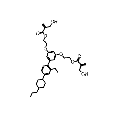 C=C(CO)C(=O)OCCOc1cc(OCCOC(=O)C(=C)CO)cc(-c2ccc(C3CCC(CCC)CC3)cc2CC)c1